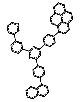 c1cncc(-c2cccc(-c3nc(-c4ccc(-c5cccc6ccccc56)cc4)cc(-c4ccc(-c5ccc6ccc7cccc8ccc5c6c78)cc4)n3)c2)c1